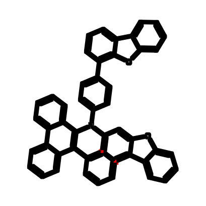 c1ccc(-c2c(N(c3ccc(-c4cccc5c4oc4ccccc45)cc3)c3ccc4c(c3)oc3ccccc34)c3ccccc3c3ccccc23)cc1